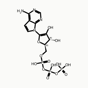 Nc1ncnc2c1ccn2C1=C(O)[C@H](O)[C@@H](COP(=O)(O)OP(=O)(O)OP(=O)(O)O)O1